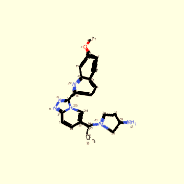 CC(C)Oc1ccc2ccc(-c3nnc4ccc([C@@H](N5CCC(N)C5)C(F)(F)F)cn34)nc2c1